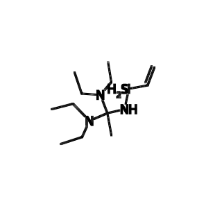 C=C[SiH2]NC(C)(N(CC)CC)N(CC)CC